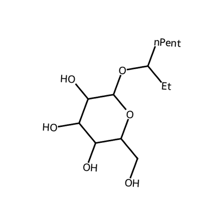 CCCCCC(CC)OC1OC(CO)C(O)C(O)C1O